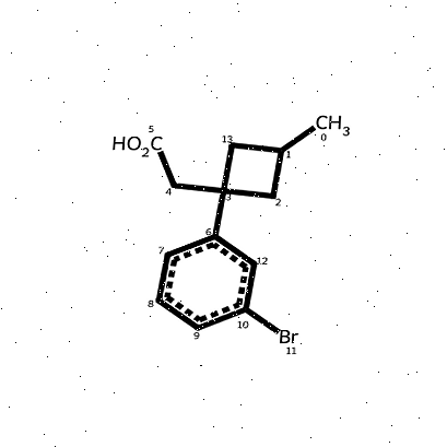 CC1CC(CC(=O)O)(c2cccc(Br)c2)C1